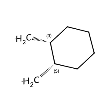 [CH2][C@@H]1CCCC[C@@H]1[CH2]